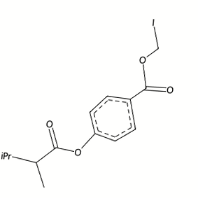 CC(C)C(C)C(=O)Oc1ccc(C(=O)OCI)cc1